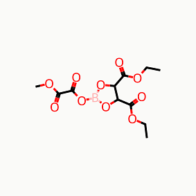 CCOC(=O)C1OB(OC(=O)C(=O)OC)OC1C(=O)OCC